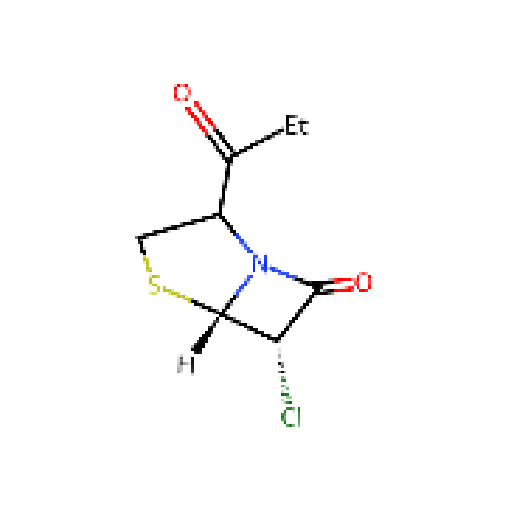 CCC(=O)C1CS[C@H]2[C@@H](Cl)C(=O)N12